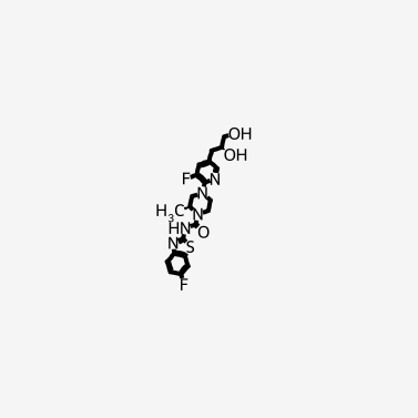 C[C@H]1CN(c2ncc(C[C@@H](O)CO)cc2F)CCN1C(=O)Nc1nc2ccc(F)cc2s1